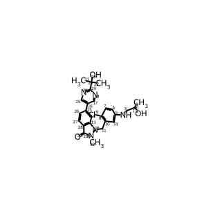 C[C@@H](O)CNc1ccc(Cl)c(Cn2c3cc(-c4cnc(C(C)(C)O)nc4)ccc3c(=O)n2C)c1